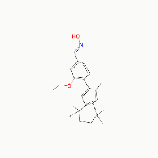 CCOc1cc(/C=N/O)ccc1-c1cc2c(cc1C)C(C)(C)CCC2(C)C